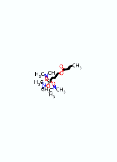 CC=CC(=O)OCCC[Si](ON(C)C)(ON(C)C)ON(C)C